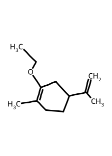 C=C(C)C1CCC(C)=C(OCC)C1